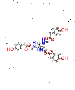 O=C(Cc1ccc(O)cc1)OCNC[C]([U])(CNCOC(=O)Cc1ccc(O)cc1)NCOC(=O)Cc1ccc(O)cc1